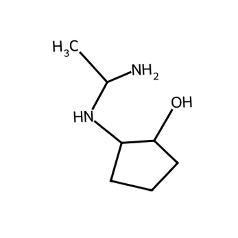 CC(N)NC1CCCC1O